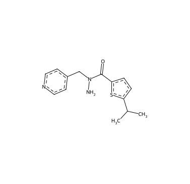 CC(C)c1ccc(C(=O)N(N)Cc2ccncc2)s1